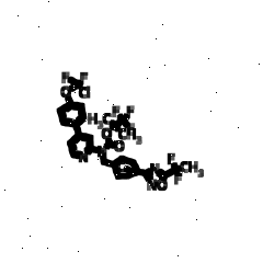 CC(F)(F)c1nc(C23CCC(CN(C(=O)OC(C)(C)C(F)(F)F)c4cc(-c5ccc(OC(F)(F)Cl)cc5)ccn4)(CC2)CC3)no1